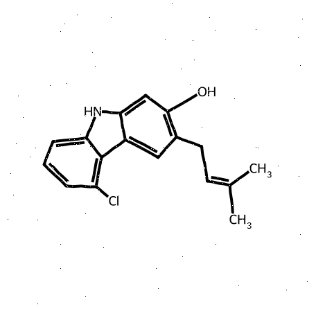 CC(C)=CCc1cc2c(cc1O)[nH]c1cccc(Cl)c12